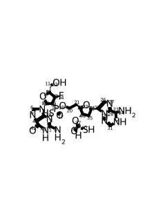 Nc1nc2c(ncn2[C@@H]2O[C@H](CO)[C@@H](F)[C@H]2P(=O)(S)OCC[C@H]2O[C@@H](c3cnc4n3N=CNC4N)C[C@@H]2O[PH](=O)S)c(=O)[nH]1